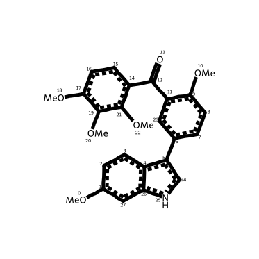 COc1ccc2c(-c3ccc(OC)c(C(=O)c4ccc(OC)c(OC)c4OC)c3)c[nH]c2c1